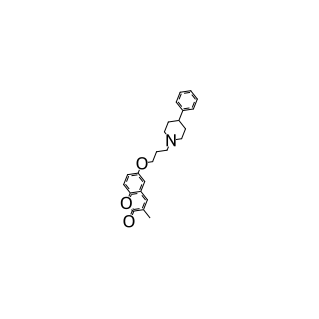 Cc1cc2cc(OCCCN3CCC(c4ccccc4)CC3)ccc2oc1=O